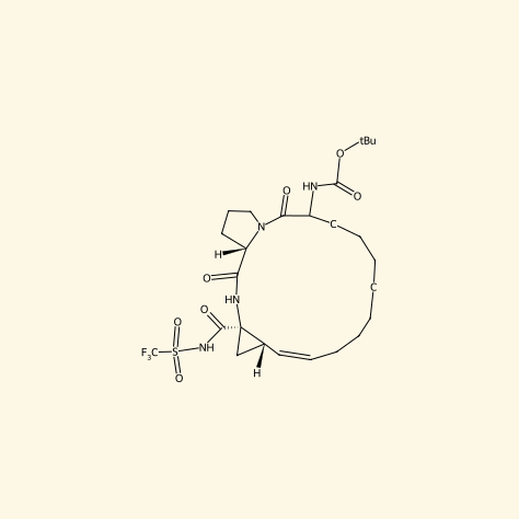 CC(C)(C)OC(=O)NC1CCCCCCC/C=C\[C@@H]2C[C@@]2(C(=O)NS(=O)(=O)C(F)(F)F)NC(=O)[C@@H]2CCCN2C1=O